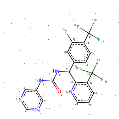 O=C(Nc1cncnc1)NC(c1ccc(C(F)(F)F)c(F)c1)c1ncccc1C(F)(F)F